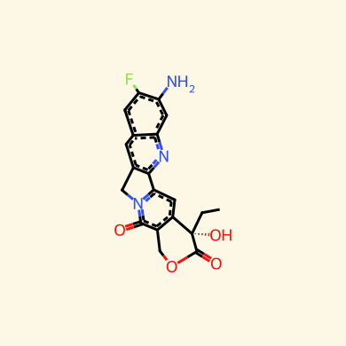 CC[C@@]1(O)C(=O)OCc2c1cc1n(c2=O)Cc2cc3cc(F)c(N)cc3nc2-1